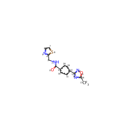 O=C(NCc1nccs1)c1ccc(-c2noc(C(F)(F)F)n2)cc1